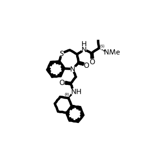 CN[C@@H](C)C(=O)NC1CSc2ccccc2N(CC(=O)N[C@@H]2CCCc3ccccc32)C1=O